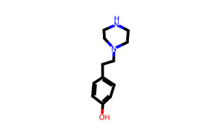 Oc1ccc(CCN2CCNCC2)cc1